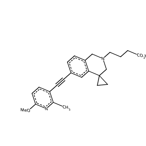 COc1ccc(C#Cc2ccc3c(c2)C2(CC2)CN(CCCC(=O)O)C3)c(C)n1